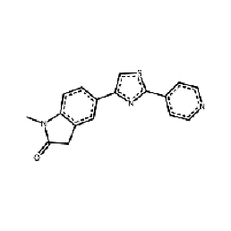 CN1C(=O)Cc2cc(-c3csc(-c4ccncc4)n3)ccc21